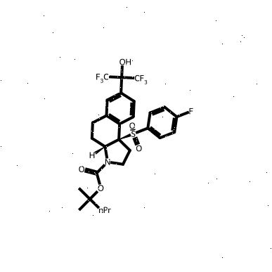 CCCC(C)(C)OC(=O)N1CC[C@@]2(S(=O)(=O)c3ccc(F)cc3)c3ccc(C(O)(C(F)(F)F)C(F)(F)F)cc3CC[C@@H]12